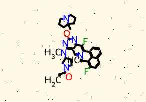 C#Cc1c(F)ccc2cccc(-c3ncc4c(N(C)C5CCN(C(=O)C=C)C5)nc(OCC56CCCN5CCC6)nc4c3F)c12